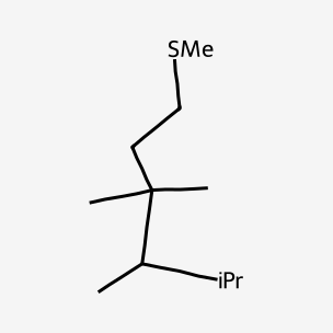 CSCCC(C)(C)C(C)C(C)C